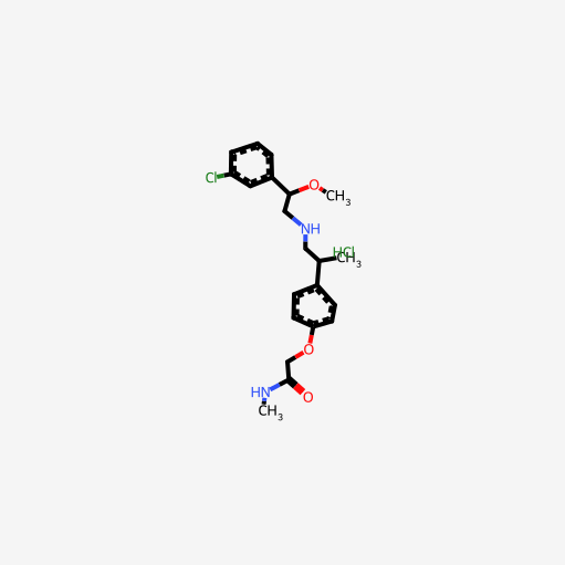 CNC(=O)COc1ccc(C(C)CNCC(OC)c2cccc(Cl)c2)cc1.Cl